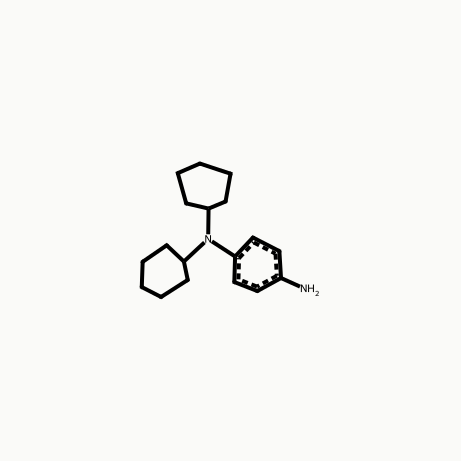 Nc1ccc(N(C2CCCCC2)C2CCCCC2)cc1